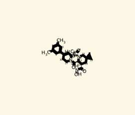 Cc1cc(C)cc(C2=CCN(C(=O)[C@@H]3[C@@H](C(=O)NO)CC4(CC4)CN3S(C)(=O)=O)CC2)c1